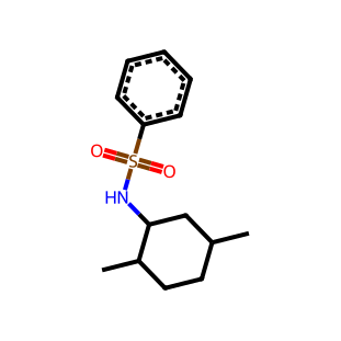 CC1CCC(C)C(NS(=O)(=O)c2ccccc2)C1